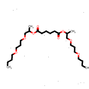 CCCCOCCCOCC(C)OC(=O)CCCCC(=O)OC(C)COCCCOCCCC